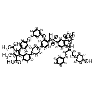 Cc1c(C(=O)O)c(-c2cccc(N3CCN(c4ccc(NS(=O)(=O)c5ccc(N[C@H](CCN6CCC(O)CC6)CSc6ccccc6)c(S(=O)(=O)C(F)(F)F)c5)c(Oc5ccccc5)c4)CC3)c2)c(-c2ccc(Cl)cc2)n1C(C)C